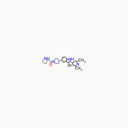 Cc1cc(-c2[nH]c3ccc(C4CCN(C(=O)CC5CCCN5)CC4)cc3c2C(C)C)cc(C)n1